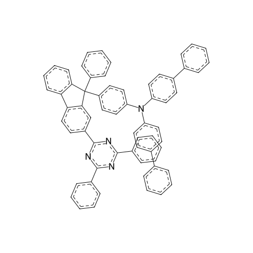 c1ccc(-c2ccc(N(c3ccc(-c4ccccc4)cc3)c3ccc(C4(c5ccccc5)c5ccccc5-c5ccc(-c6nc(-c7ccccc7)nc(-c7ccccc7)n6)cc54)cc3)cc2)cc1